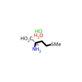 CSCC[C@H](N)C(=O)O.Cl.O